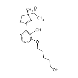 CC(=O)[C@@]1(C)CSC(c2nccc(OCCCCCO)c2O)=N1